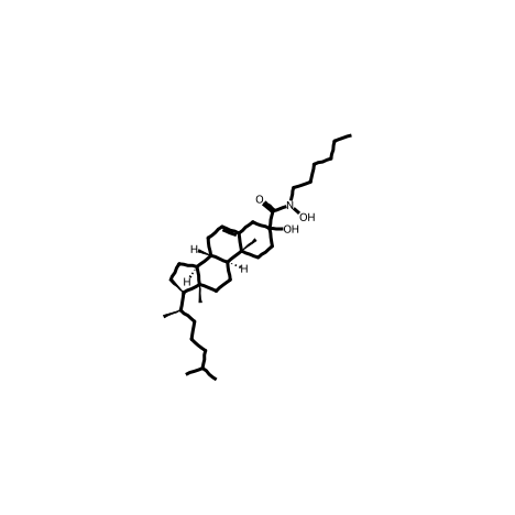 CCCCCCN(O)C(=O)C1(O)CC[C@@]2(C)C(=CC[C@H]3[C@@H]4CC[C@H]([C@H](C)CCCC(C)C)[C@@]4(C)CC[C@@H]32)C1